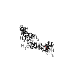 CC(=O)O[C@H](C[C@H](C(C)C)N(C)C(=O)[C@H](CC1CC1)NC(=O)[C@H]1CC2CCN1CC2)c1nc(C(=O)N[C@@H](Cc2nc(C(F)(F)F)cs2)C[C@H](C)C(=O)O)cs1